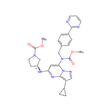 CC(C)(C)OC(=O)N1CC[C@H](Nc2cc(N(Cc3ccc(-c4ncccn4)cc3)C(=O)OC(C)(C)C)n3ncc(C4CC4)c3n2)C1